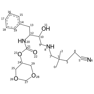 CC(C)(CCC#N)CNCC(O)C(Cc1ccccc1)NC(=O)OC1COCOC1